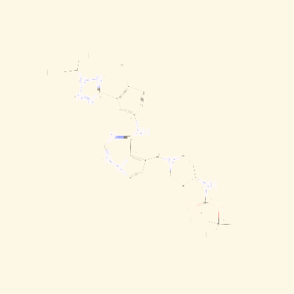 CC(C)n1nnc(-c2cc(Nc3ncnn4ccc(CN5CCC(NC(=O)OC(C)(C)C)CC5)c34)ccc2F)n1